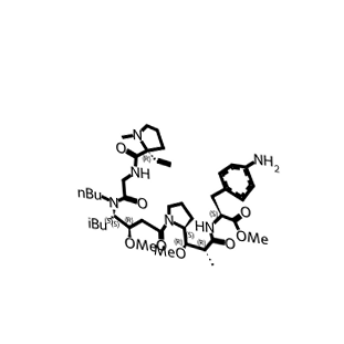 C=C[C@@]1(C(=O)NCC(=O)N(CCCC)[C@@H]([C@@H](C)CC)[C@@H](CC(=O)N2CCC[C@H]2[C@H](OC)[C@@H](C)C(=O)N[C@@H](Cc2ccc(N)cc2)C(=O)OC)OC)CCCN1C